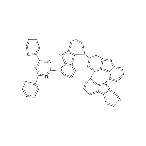 c1ccc(-c2nc(-c3ccccc3)nc(-c3cccc4c3oc3cccc(-c5cc(-c6cccc7c6sc6ccccc67)c6c(c5)sc5ccccc56)c34)n2)cc1